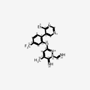 CCc1ncncc1-c1ccc(C(F)(F)F)cc1Oc1cc(C)c(=N)n(C=N)n1